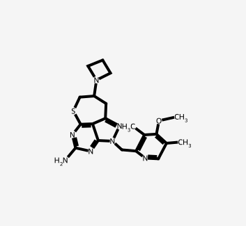 COc1c(C)cnc(Cn2nc3c4c(nc(N)nc42)SCC(N2CCC2)C3)c1C